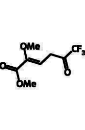 COC(=O)C(=CCC(=O)C(F)(F)F)OC